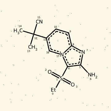 CCS(=O)(=O)c1c(N)nc2ccc(C(C)(C)C#N)cn12